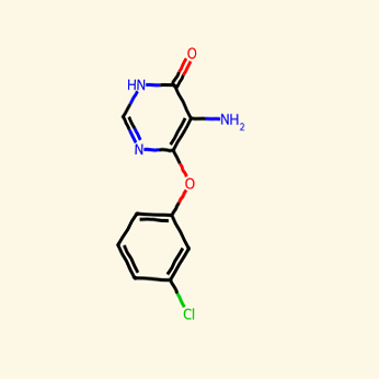 Nc1c(Oc2cccc(Cl)c2)nc[nH]c1=O